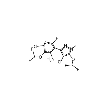 Cn1nc(-c2c(F)cc(Cl)c(OC(F)F)c2N)c(Cl)c1OC(F)F